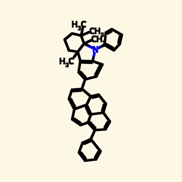 CC1(C)CCCC2(C)c3cc(-c4ccc5ccc6c(-c7ccccc7)ccc7ccc4c5c76)ccc3N(c3ccccc3)C12C